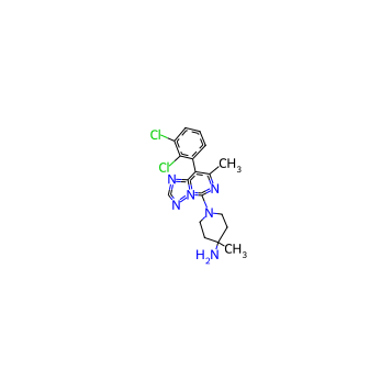 Cc1nc(N2CCC(C)(N)CC2)n2ncnc2c1-c1cccc(Cl)c1Cl